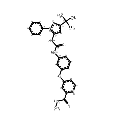 CNC(=O)c1cc(Oc2cccc(NC(=O)Nc3cc(C(C)(C)C)nn3-c3ccccc3)c2)ccn1